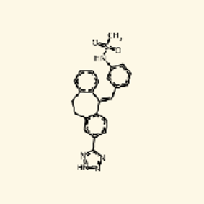 CS(=O)(=O)Nc1cccc(/C=C2\c3ccccc3CCc3cc(-c4nn[nH]n4)ccc32)c1